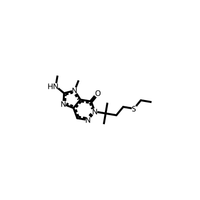 CCSCCC(C)(C)n1ncc2nc(NC)n(C)c2c1=O